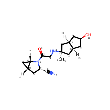 C[C@]1(NCC(=O)N2[C@H](C#N)C[C@@H]3C[C@@H]32)C[C@H]2C[C@@H](O)C[C@H]2C1